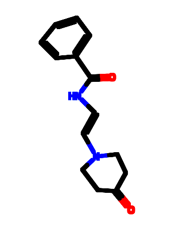 O=C1CCN(C=CNC(=O)c2ccccc2)CC1